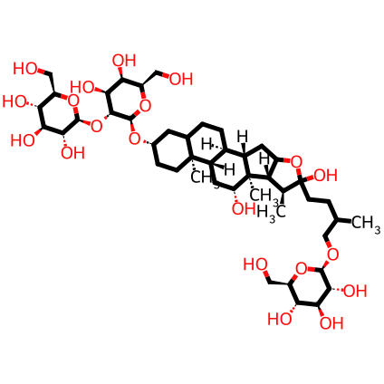 CC(CCC1(O)OC2C[C@H]3[C@@H]4CCC5C[C@@H](O[C@@H]6O[C@H](CO)[C@H](O)[C@H](O)[C@H]6O[C@@H]6O[C@H](CO)[C@@H](O)[C@H](O)[C@H]6O)CC[C@]5(C)[C@H]4C[C@@H](O)[C@]3(C)[C@H]2[C@@H]1C)CO[C@@H]1O[C@H](CO)[C@@H](O)[C@H](O)[C@H]1O